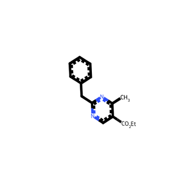 CCOC(=O)c1cnc(Cc2ccccc2)nc1C